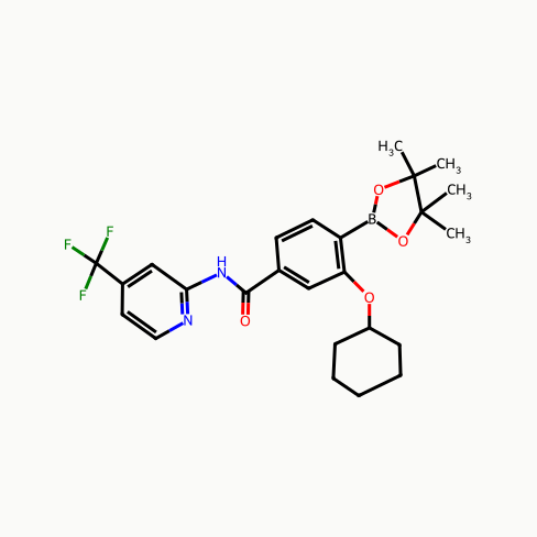 CC1(C)OB(c2ccc(C(=O)Nc3cc(C(F)(F)F)ccn3)cc2OC2CCCCC2)OC1(C)C